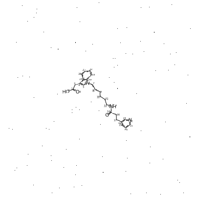 O=C(O)Cc1cn(CCCCCCNC(=O)CCc2cccnc2)c2ccccc12